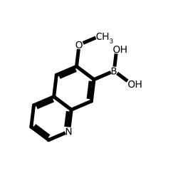 COc1cc2cccnc2cc1B(O)O